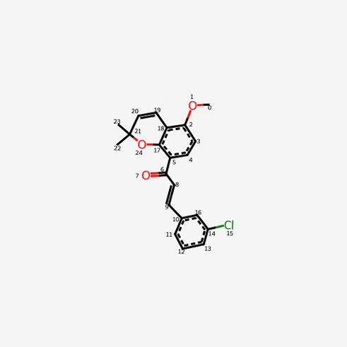 COc1ccc(C(=O)/C=C/c2cccc(Cl)c2)c2c1C=CC(C)(C)O2